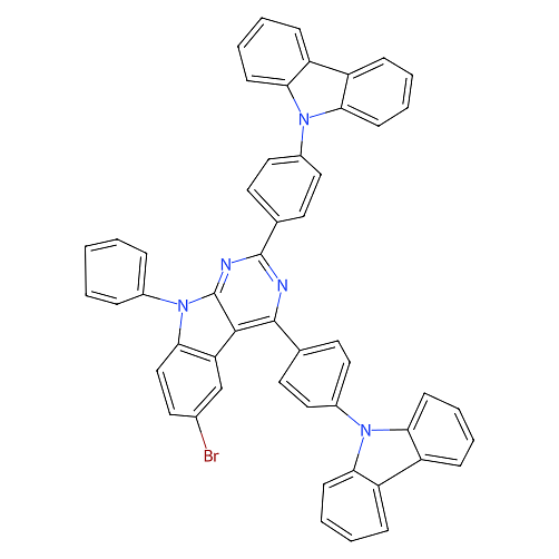 Brc1ccc2c(c1)c1c(-c3ccc(-n4c5ccccc5c5ccccc54)cc3)nc(-c3ccc(-n4c5ccccc5c5ccccc54)cc3)nc1n2-c1ccccc1